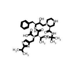 CC(C)c1nc(CN(C(=O)O)[C@H](C(=O)N[C@@H](Cc2ccccc2)[C@@H](O)CN2CCNC[C@H]2C(=O)NC(C)(C)C)C(C)C)cs1